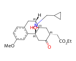 CCOC(=O)C[C@H]1C[C@@]2(O)[C@H]3Cc4ccc(OC)cc4[C@@]2(CCN3CC2CC2)CC1=O